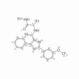 CCNC(=O)C(CC)Nc1nc2ccccc2c2nc(-c3cccc(OC(F)(F)F)c3)nn12